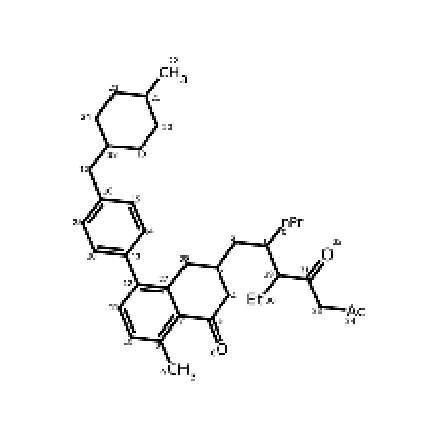 CCCC(CC1CC(=O)c2c(C)ccc(-c3ccc(CC4CCC(C)CC4)cc3)c2C1)C(CC)C(=O)CC(C)=O